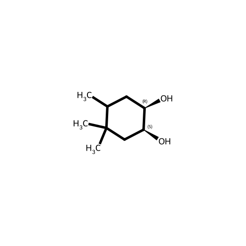 CC1C[C@@H](O)[C@@H](O)CC1(C)C